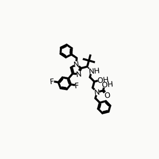 CC(C)(C)[C@@H](NCC(O)CN(Cc1ccccc1)C(=O)O)c1nc(-c2cc(F)ccc2F)cn1Cc1ccccc1